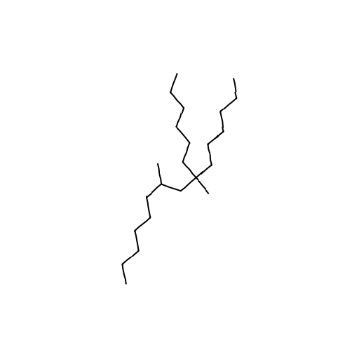 CCCCCCC(C)CC(C)(CCCCCC)CCCCCC